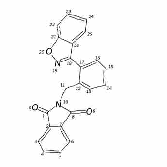 O=C1c2ccccc2C(=O)N1Cc1ccccc1-c1noc2ccccc12